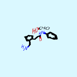 NCc1ccccc1C=CC(=O)Nc1ccccc1.O=CO